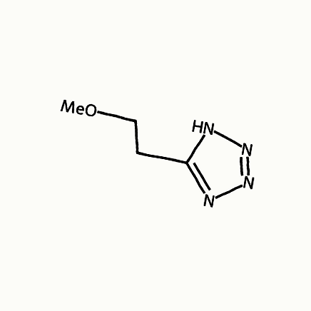 [CH2]OCCc1nnn[nH]1